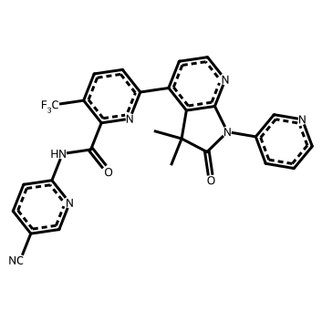 CC1(C)C(=O)N(c2cccnc2)c2nccc(-c3ccc(C(F)(F)F)c(C(=O)Nc4ccc(C#N)cn4)n3)c21